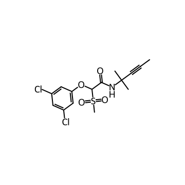 CC#CC(C)(C)NC(=O)C(Oc1cc(Cl)cc(Cl)c1)S(C)(=O)=O